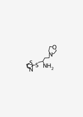 NC(CCN1CCOCC1)CSc1nccs1